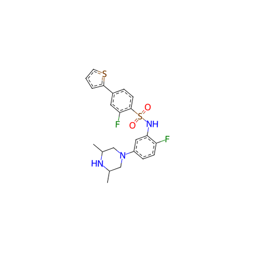 CC1CN(c2ccc(F)c(NS(=O)(=O)c3ccc(-c4cccs4)cc3F)c2)CC(C)N1